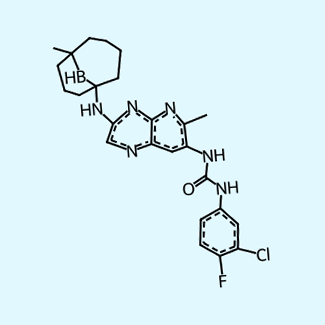 Cc1nc2nc(NC34BC(C)(CCCC3)CCC4)cnc2cc1NC(=O)Nc1ccc(F)c(Cl)c1